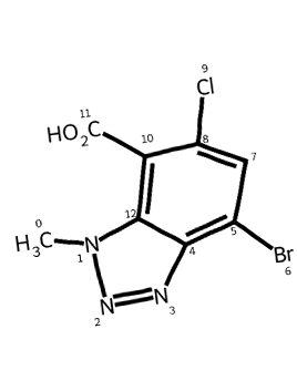 Cn1nnc2c(Br)cc(Cl)c(C(=O)O)c21